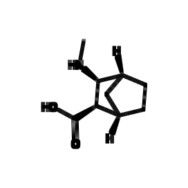 CN[C@H]1[C@@H]2CC[C@@H](C2)[C@H]1C(=O)O